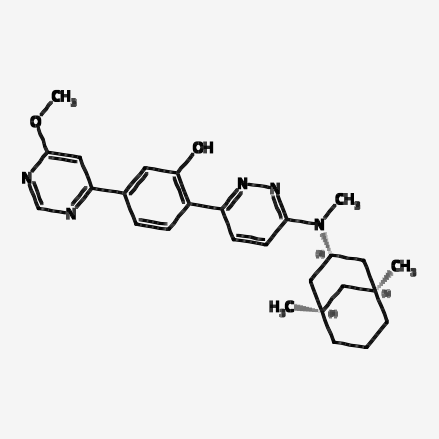 COc1cc(-c2ccc(-c3ccc(N(C)[C@H]4C[C@]5(C)CCC[C@](C)(C4)C5)nn3)c(O)c2)ncn1